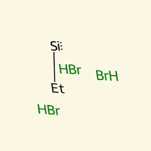 Br.Br.Br.CC[Si]